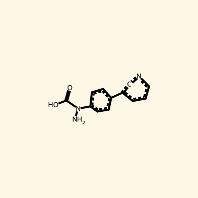 NN(C(=O)O)c1ccc(-c2cccnc2)cc1